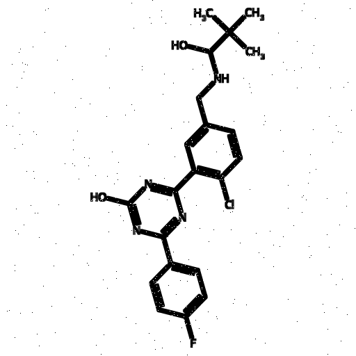 CC(C)(C)C(O)NCc1ccc(Cl)c(-c2nc(O)nc(-c3ccc(F)cc3)n2)c1